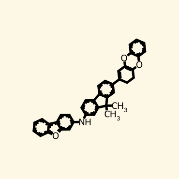 CC1(C)c2cc(Nc3ccc4c(c3)oc3ccccc34)ccc2-c2ccc(C3=CC4=C(CC3)Oc3ccccc3O4)cc21